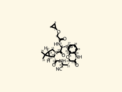 CC(C)(C)[C@H](NC(=O)COC1CC1)C(=O)N1C[C@H]2[C@@H]([C@H]1C(=O)N[C@H](C#N)C[C@@H]1Oc3ccccc3NC1=O)C2(C)C